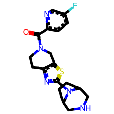 O=C(c1ccc(F)cn1)N1CCc2nc(N3C4CCC3CNC4)sc2C1